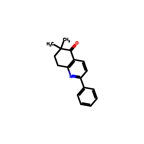 CC1(C)CCc2nc(-c3ccccc3)ccc2C1=O